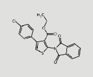 CCOC(=O)c1c(-c2ccc(Cl)cc2)csc1N1C(=O)c2ccccc2C1=O